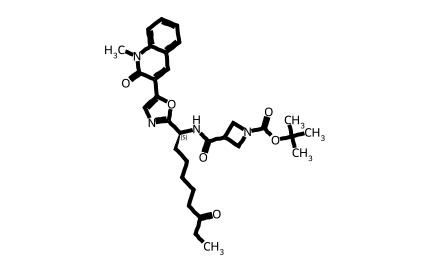 CCC(=O)CCCCC[C@H](NC(=O)C1CN(C(=O)OC(C)(C)C)C1)c1ncc(-c2cc3ccccc3n(C)c2=O)o1